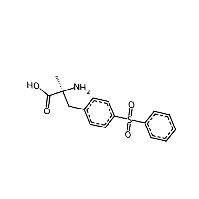 C[C@](N)(Cc1ccc(S(=O)(=O)c2ccccc2)cc1)C(=O)O